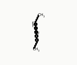 CCCCCCCCc1ccc(-c2ccc(-c3ccc(C4CCC(C5CCC(CCCCCCC)CC5)CC4)c(F)c3)cc2)c(F)c1F